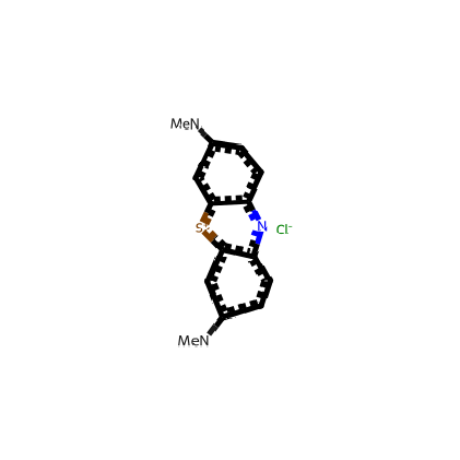 CNc1ccc2nc3ccc(NC)cc3[s+]c2c1.[Cl-]